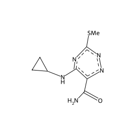 CSc1nnc(C(N)=O)c(NC2CC2)n1